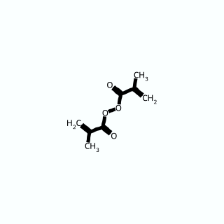 C=C(C)C(=O)OOC(=O)C(=C)C